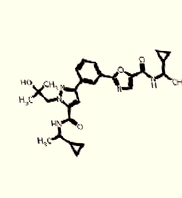 CC(NC(=O)c1cnc(-c2cccc(-c3cc(C(=O)NC(C)C4CC4)n(CC(C)(C)O)n3)c2)o1)C1CC1